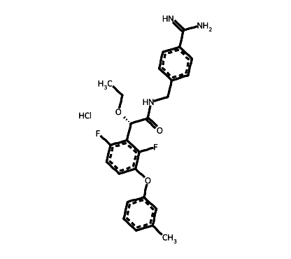 CCO[C@H](C(=O)NCc1ccc(C(=N)N)cc1)c1c(F)ccc(Oc2cccc(C)c2)c1F.Cl